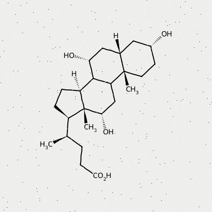 C[C@H](CCC(=O)O)[C@H]1CC[C@H]2C3C(C[C@H](O)[C@]12C)[C@@]1(C)CC[C@@H](O)C[C@H]1C[C@H]3O